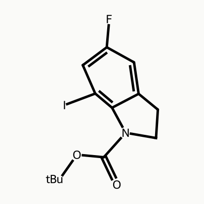 CC(C)(C)OC(=O)N1CCc2cc(F)cc(I)c21